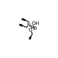 C#CCOP(=O)(O)N(CC#C)CC#C